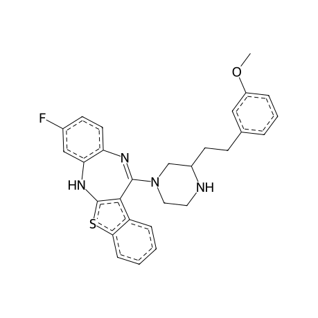 COc1cccc(CCC2CN(C3=Nc4ccc(F)cc4Nc4sc5ccccc5c43)CCN2)c1